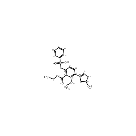 CCOC(=O)c1c(CS(=O)(=O)c2ccccc2)ccc(C2=NOC(O)C2)c1OC